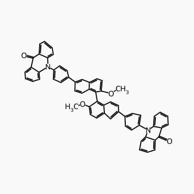 COc1ccc2cc(-c3ccc(-n4c5ccccc5c(=O)c5ccccc54)cc3)ccc2c1-c1c(OC)ccc2cc(-c3ccc(-n4c5ccccc5c(=O)c5ccccc54)cc3)ccc12